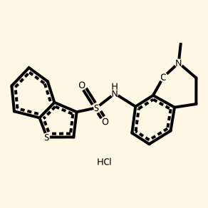 CN1CCc2cccc(NS(=O)(=O)c3csc4ccccc34)c2C1.Cl